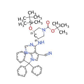 CC(C)(C)OC(=O)N1C[C@H](Nc2ncnc3c2c(C#N)cn3C(c2ccccc2)(c2ccccc2)c2ccccc2)C[C@H](O[Si](C)(C)C(C)(C)C)C1